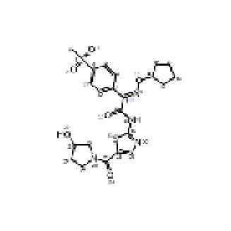 CS(=O)(=O)c1ccc(/C(=N\OC2CCCC2)C(=O)Nc2ncc(C(=O)N3CCC(O)C3)s2)cc1